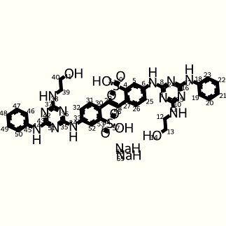 O=S(=O)(O)c1cc(Nc2nc(NCCO)nc(Nc3ccccc3)n2)ccc1/C=C/c1ccc(Nc2nc(NCCO)nc(Nc3ccccc3)n2)cc1S(=O)(=O)O.[NaH].[NaH]